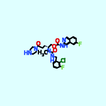 CN(C(=O)NCc1cccc(F)c1Cl)[C@H](CCC(=O)N1CCNCC1)COC(=O)Nc1cc2cc(F)ccc2cn1